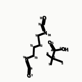 CC(C)(C)C(=O)O.O=C=NCCCCN=C=O